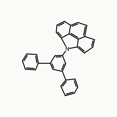 c1ccc(-c2cc(-c3ccccc3)cc(-n3c4cccc5ccc6cccc3c6c54)c2)cc1